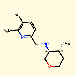 CO[C@@H]1CCOC[C@H]1NCc1ccc(C#N)c(C)n1